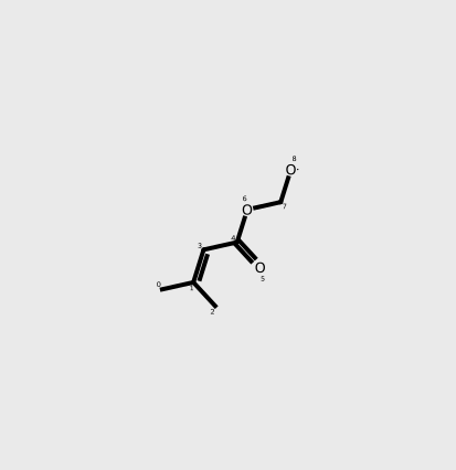 CC(C)=CC(=O)OC[O]